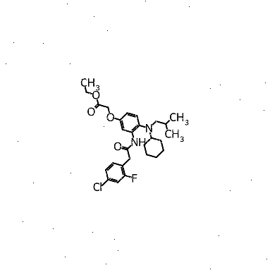 CCOC(=O)COc1ccc(N(CC(C)C)C2CCCCC2)c(NC(=O)Cc2ccc(Cl)cc2F)c1